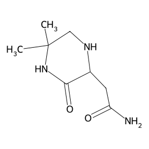 CC1(C)CNC(CC(N)=O)C(=O)N1